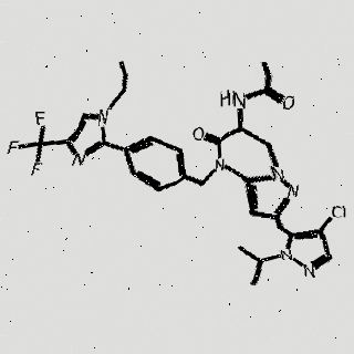 CCn1cc(C(F)(F)F)nc1-c1ccc(CN2C(=O)C(NC(C)=O)Cn3nc(-c4c(Cl)cnn4C(C)C)cc32)cc1